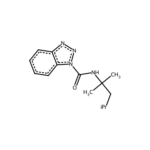 CC(C)CC(C)(C)NC(=O)n1nnc2ccccc21